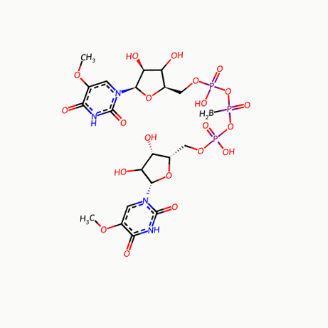 BP(=O)(OP(=O)(O)OC[C@@H]1O[C@H](n2cc(OC)c(=O)[nH]c2=O)C(O)[C@@H]1O)OP(=O)(O)OC[C@H]1O[C@@H](n2cc(OC)c(=O)[nH]c2=O)[C@@H](O)C1O